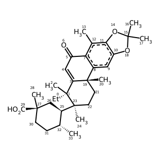 CC[C@]1(C)C2=CC(=O)c3c(cc4c(c3C)OC(C)(C)O4)[C@]2(C)CC[C@@]1(C)[C@@H]1C[C@](C)(C(=O)O)CC[C@H]1C